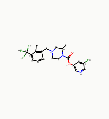 Cc1c(CN2CCN(C(=O)Oc3cncc(F)c3)C(C)C2)cccc1C(F)(F)F